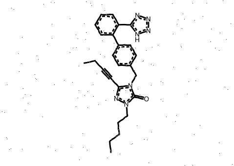 CCC#Cc1nn(CCCCC)c(=O)n1Cc1ccc(-c2ccccc2-c2nnn[nH]2)cc1